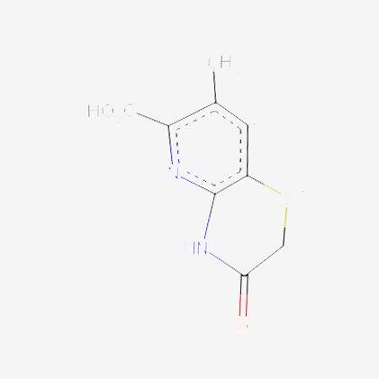 Cc1cc2c(nc1C(=O)O)NC(=O)CS2